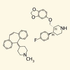 CN1CCC(=C2c3ccccc3C=Cc3ccccc32)CC1.Fc1ccc([C@@H]2CCNC[C@H]2COc2ccc3c(c2)OCO3)cc1